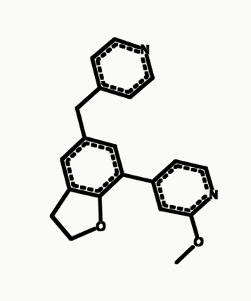 COc1cc(-c2cc(Cc3ccncc3)cc3c2OCC3)ccn1